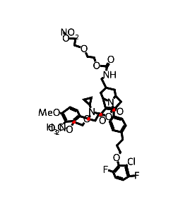 COc1ccc(CN(C(=O)C2=C(c3ccc(CCCOc4c(F)ccc(F)c4Cl)cc3)CC3CC(CNC(=O)OCCOCCO[N+](=O)[O-])CC2N3C(=O)OCCOCCO[N+](=O)[O-])C2CC2)cc1C